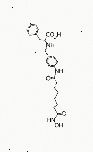 O=C(CCCCCCC(=O)Nc1ccc(CNC(Cc2ccccc2)C(=O)O)cc1)NO